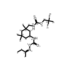 CCC(C)=NOC(=O)NC1CC(C)(C)CC(C)(CNC(=O)OCC(C)(F)F)C1